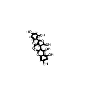 O=c1oc2cc(O)cc(O)c2c(O)c1C1c2c(c3c(O)cc(O)cc3oc2=O)OC1O